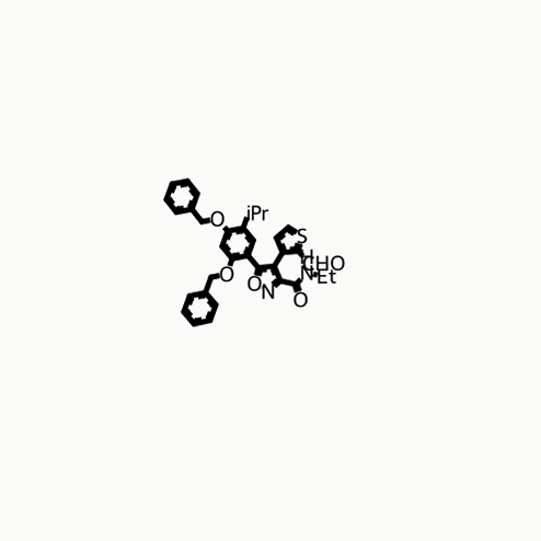 CCNC(=O)c1noc(-c2cc(C(C)C)c(OCc3ccccc3)cc2OCc2ccccc2)c1-c1ccsc1C=O